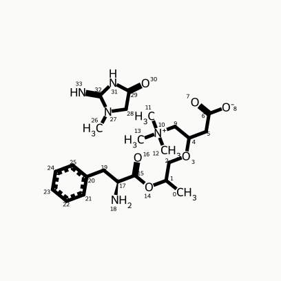 CC(COC(CC(=O)[O-])C[N+](C)(C)C)OC(=O)[C@@H](N)Cc1ccccc1.CN1CC(=O)NC1=N